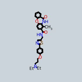 CCN(CC)CCCOc1ccc(-c2ncc(CNC(=O)c3ccc4c(c3C)NC(=O)c3ccccc3O4)s2)cc1